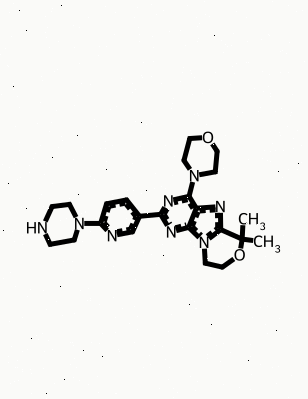 CC1(C)OCCn2c1nc1c(N3CCOCC3)nc(-c3ccc(N4CCNCC4)nc3)nc12